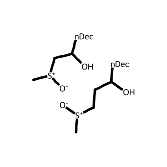 CCCCCCCCCCC(O)CC[S+](C)[O-].CCCCCCCCCCC(O)C[S+](C)[O-]